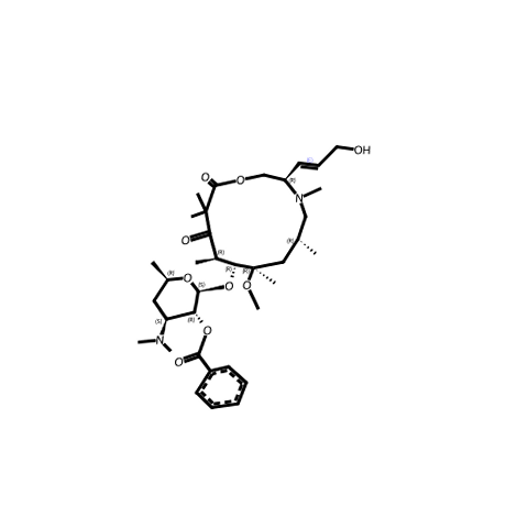 CO[C@]1(C)C[C@@H](C)CN(C)[C@H](/C=C/CO)COC(=O)C(C)(C)C(=O)[C@H](C)[C@H]1O[C@@H]1O[C@H](C)C[C@H](N(C)C)[C@H]1OC(=O)c1ccccc1